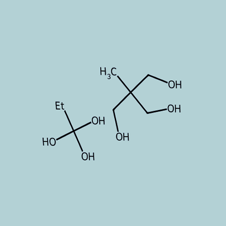 CC(CO)(CO)CO.CCC(O)(O)O